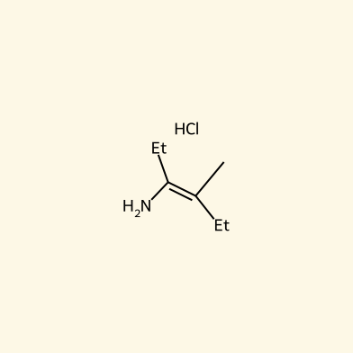 CCC(C)=C(N)CC.Cl